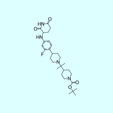 CC(C)(C)OC(=O)N1CCC(C(C)(C)N2CCC(c3ccc(NC4CCC(=O)NC4=O)cc3F)CC2)CC1